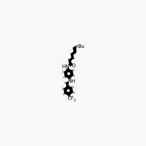 CCCC/C=C/CCCC(=O)Nc1ccc(NCc2ccc(C(F)(F)F)cc2)cc1